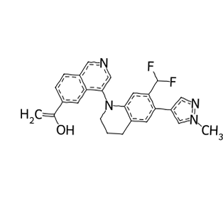 C=C(O)c1ccc2cncc(N3CCCc4cc(-c5cnn(C)c5)c(C(F)F)cc43)c2c1